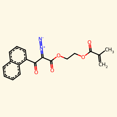 C=C(C)C(=O)OCCOC(=O)C(=[N+]=[N-])C(=O)c1cccc2ccccc12